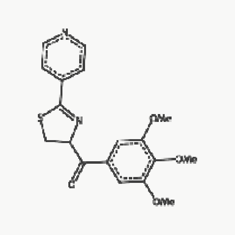 COc1cc(C(=O)C2CSC(c3ccncc3)=N2)cc(OC)c1OC